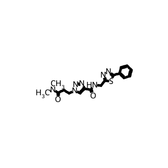 CN(C)C(=O)CCn1cc(C(=O)NCc2nnc(-c3ccccc3)s2)nn1